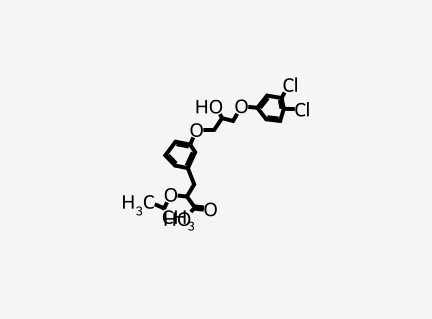 CC(C)OC(Cc1cccc(OCC(O)COc2ccc(Cl)c(Cl)c2)c1)C(=O)O